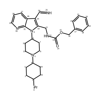 CC(C)C1CCC(N2CCC(n3c(CNC(=O)OCc4ccccc4)c(C=N)c4cccnc43)CC2)CC1